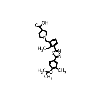 CCc1c(CN2CCC(C(=O)O)CC2)cccc1-c1nnc(-c2ccc(OC(C)C)c(C)c2)s1